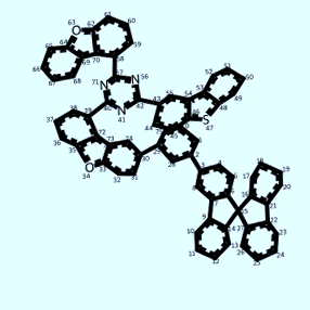 c1cc(-c2ccc3c(c2)-c2ccccc2C32c3ccccc3-c3ccccc32)cc(-c2ccc3oc4cccc(-c5nc(-c6ccc7sc8ccccc8c7c6)nc(-c6cccc7oc8ccccc8c67)n5)c4c3c2)c1